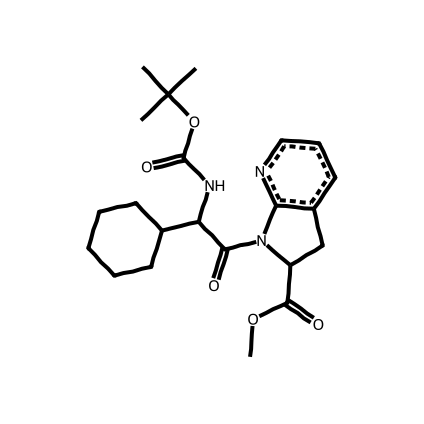 COC(=O)C1Cc2cccnc2N1C(=O)C(NC(=O)OC(C)(C)C)C1CCCCC1